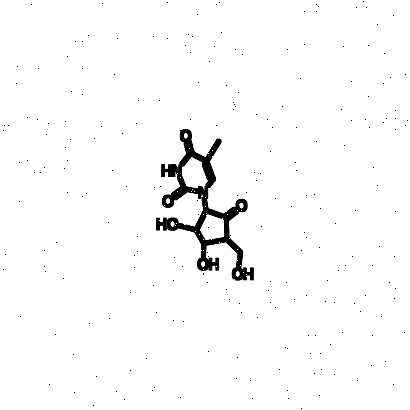 Cc1cn(C2C(=O)C(CO)C(O)C2O)c(=O)[nH]c1=O